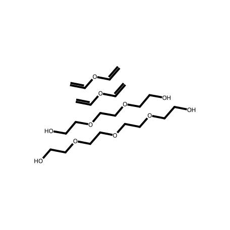 C=COC=C.C=COC=C.OCCOCCOCCO.OCCOCCOCCOCCO